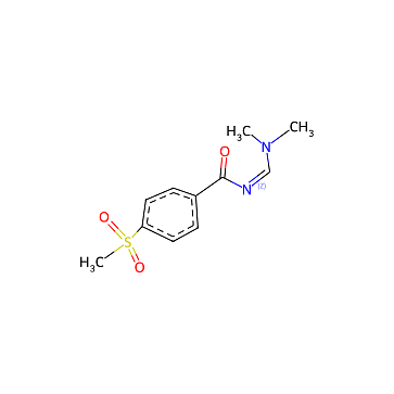 CN(C)/C=N\C(=O)c1ccc(S(C)(=O)=O)cc1